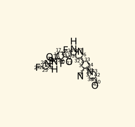 N#Cc1cc(-c2cnc3[nH]cc(C(=O)c4c(F)ccc(N[S+]([O-])N5CCC(F)C5)c4F)c3c2)ccc1N1CCC(C=O)CC1